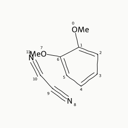 COc1ccccc1OC.N#CC#N